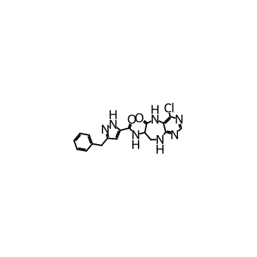 O=C(NC1CNc2ncnc(Cl)c2NC1=O)c1cc(Cc2ccccc2)n[nH]1